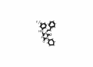 O=c1nc(Nc2cccc(C(F)(F)F)c2)n(CCc2ccccc2)c(=O)n1C1CCCCC1